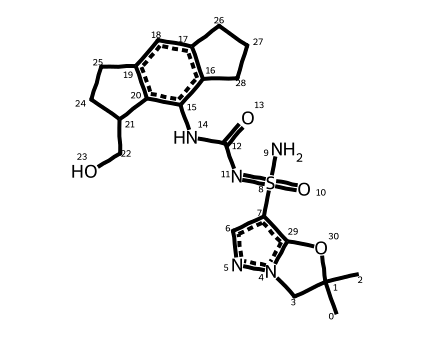 CC1(C)Cn2ncc(S(N)(=O)=NC(=O)Nc3c4c(cc5c3C(CO)CC5)CCC4)c2O1